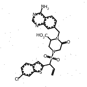 C=CC(c1cc2ccc(Cl)cc2s1)S(=O)(=O)N1CC(=O)N(Cc2ccc3c(N)ncnc3c2)C(C(=O)O)C1